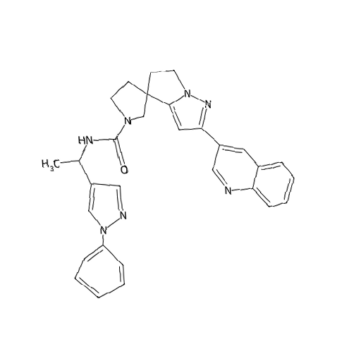 CC(NC(=O)N1CCC2(CCn3nc(-c4cnc5ccccc5c4)cc32)C1)c1cnn(-c2ccccc2)c1